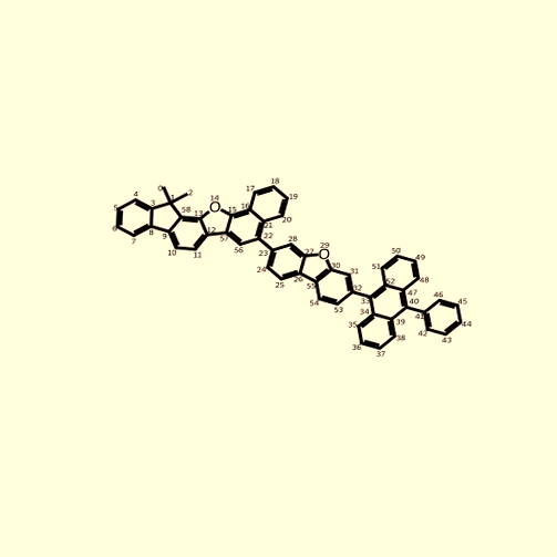 CC1(C)c2ccccc2-c2ccc3c(oc4c5ccccc5c(-c5ccc6c(c5)oc5cc(-c7c8ccccc8c(-c8ccccc8)c8ccccc78)ccc56)cc34)c21